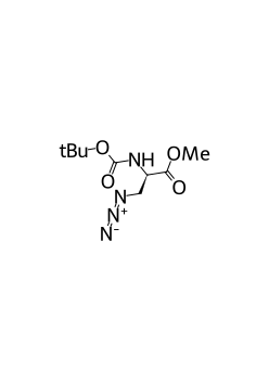 COC(=O)[C@@H](CN=[N+]=[N-])NC(=O)OC(C)(C)C